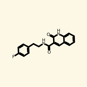 O=C(NCCc1ccc(F)cc1)c1cc2ccccc2[nH]c1=O